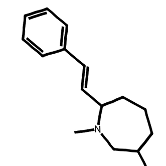 CC1CCCC(/C=C/c2ccccc2)N(C)C1